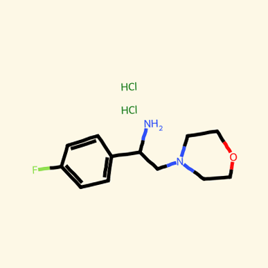 Cl.Cl.NC(CN1CCOCC1)c1ccc(F)cc1